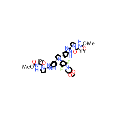 COC(=O)NC(C(=O)N1CCC[C@H]1c1nc2cc([C@H]3CC[C@H](c4ccc5[nH]c([C@@H]6CCCN6C(=O)[C@@H](NC(=O)OC)C(C)C)nc5c4)N3c3cc(F)c(N4CCC5(CC4)OCCO5)c(F)c3)ccc2[nH]1)C(C)C